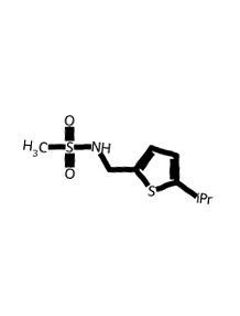 CC(C)c1ccc(CNS(C)(=O)=O)s1